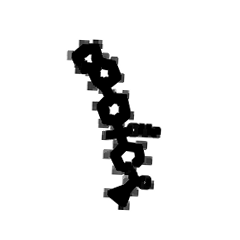 COC(C)(c1ccc(-c2ccc3cccnc3c2)cc1)C1CCN(C(=O)C2CC2)CC1